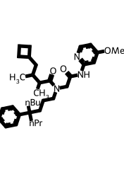 CCCCC(CCC)(CCCN(CC(=O)Nc1cc(OC)ccn1)C(=O)C(C)C(C)CC1CCC1)c1ccccc1